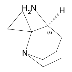 N[C@H]1C2CCN(CC2)C12CC2